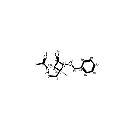 CC[C@@]1(C)[C@H](NC(C)=O)C(=O)N1OCc1ccccc1